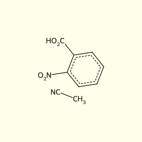 CC#N.O=C(O)c1ccccc1[N+](=O)[O-]